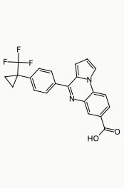 O=C(O)c1ccc2c(c1)nc(-c1ccc(C3(C(F)(F)F)CC3)cc1)c1cccn12